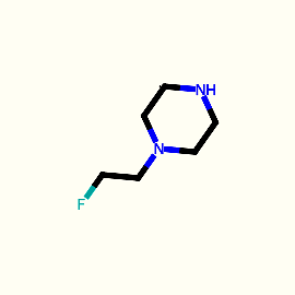 FCCN1C[CH]NCC1